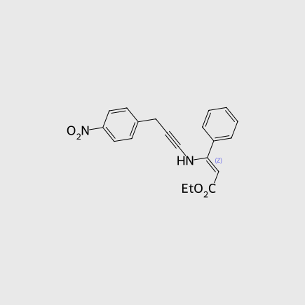 CCOC(=O)/C=C(\NC#CCc1ccc([N+](=O)[O-])cc1)c1ccccc1